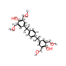 COCc1cc(C(C)(C)c2ccc(C(C)(C)c3cc(COC)c(O)c(COC)c3)cc2)cc(COC)c1O